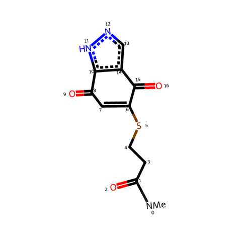 CNC(=O)CCSC1=CC(=O)c2[nH]ncc2C1=O